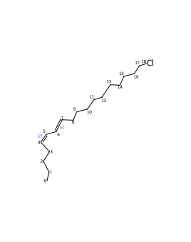 CCCC/C=C\C=C\CCCCCCCCCCCl